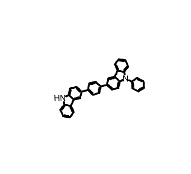 c1ccc(-n2c3ccccc3c3cc(-c4ccc(-c5ccc6[nH]c7ccccc7c6c5)cc4)ccc32)cc1